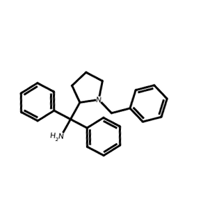 NC(c1ccccc1)(c1ccccc1)C1CCCN1Cc1ccccc1